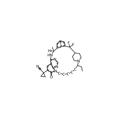 CCC1CCCCCn2c(=O)c(C3(C#N)CC3)cc3c(ncnc32)N[C@H](C)c2cccc(c2F)C(F)(F)C2CCN1CC2